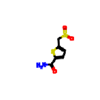 NC(=O)c1ccc(C[SH](=O)=O)s1